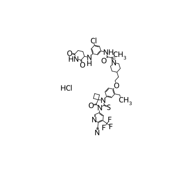 CCc1cc(N2C(=S)N(c3cnc(C#N)c(C(F)(F)F)c3)C(=O)C23CCC3)ccc1OCCC1CCN([C@@H](C)C(=O)Nc2cc(Cl)cc(NC3CCC(=O)NC3=O)c2)CC1.Cl